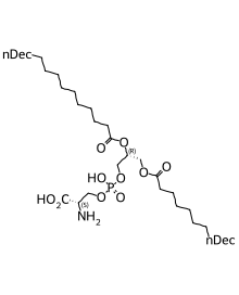 CCCCCCCCCCCCCCCCCCCC(=O)O[C@H](COC(=O)CCCCCCCCCCCCCCCC)COP(=O)(O)OC[C@H](N)C(=O)O